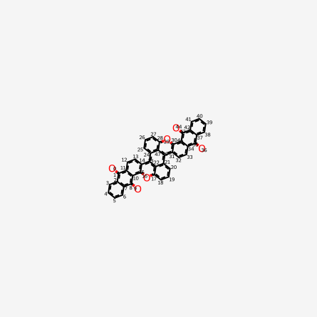 O=c1c2ccccc2c(=O)c2c1ccc1c2oc2cccc3c2c1c1cccc2oc4c(ccc5c(=O)c6ccccc6c(=O)c54)c3c21